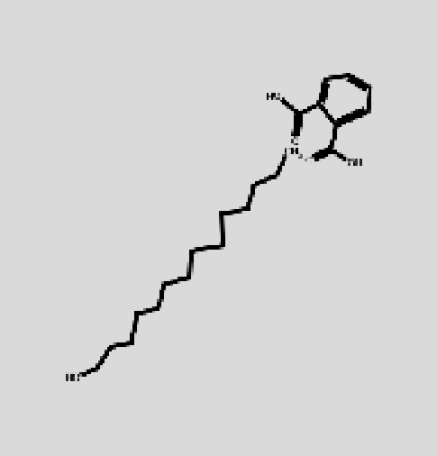 CCCCCCCCCCCCCCO.O=C(O)c1ccccc1C(=O)O